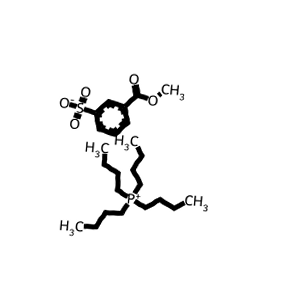 CCCC[P+](CCCC)(CCCC)CCCC.COC(=O)c1cccc(S(=O)(=O)[O-])c1